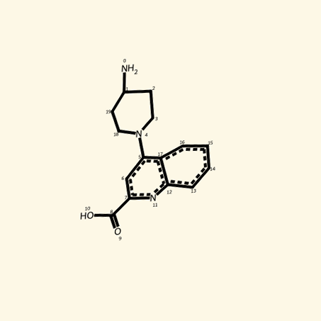 NC1CCN(c2cc(C(=O)O)nc3ccccc23)CC1